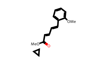 C1CC1.COC(=O)C=CC=Cc1ccccc1OC